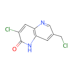 O=c1[nH]c2cc(CCl)cnc2cc1Cl